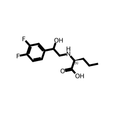 CCC[C@H](NCC(O)c1ccc(F)c(F)c1)C(=O)O